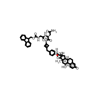 C[C@]12C=CC(=O)C=C1CC[C@@H]1[C@@H]2[C@@H](O)C[C@@]2(C)[C@H]1C[C@H]1O[C@@H](c3ccc(CC45CC(NC(=O)[C@H](CC(N)=O)NC(=O)CNC(=O)OCC6c7ccccc7-c7ccccc76)(C4)C5)cc3)O[C@]12C(=O)CO